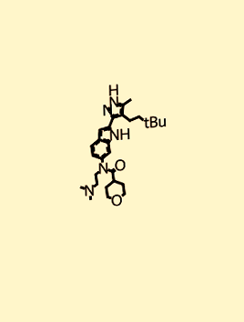 Cc1[nH]nc(-c2cc3ccc(N(CCN(C)C)C(=O)C4CCOCC4)cc3[nH]2)c1CCC(C)(C)C